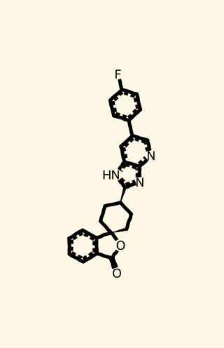 O=C1O[C@]2(CC[C@H](c3nc4ncc(-c5ccc(F)cc5)cc4[nH]3)CC2)c2ccccc21